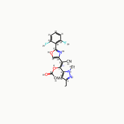 CCn1nc(C)cc1/C(OC(=O)OC)=C(\C#N)c1coc(-c2c(F)cccc2F)n1